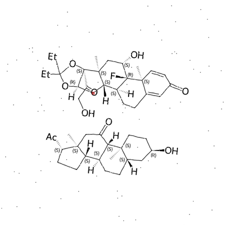 CC(=O)[C@H]1CC[C@H]2[C@@H]3CC[C@H]4C[C@H](O)CC[C@]4(C)[C@H]3C(=O)C[C@]12C.CCC1(CC)O[C@@H]2C[C@H]3[C@@H]4CCC5=CC(=O)C=C[C@]5(C)[C@@]4(F)[C@@H](O)C[C@]3(C)[C@]2(C(=O)CO)O1